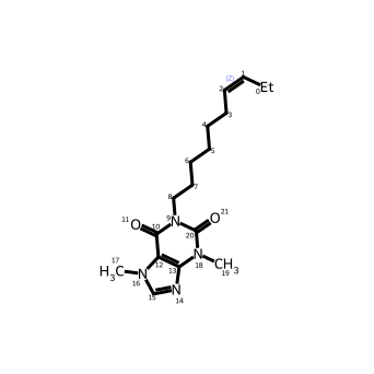 CC/C=C\CCCCCCn1c(=O)c2c(ncn2C)n(C)c1=O